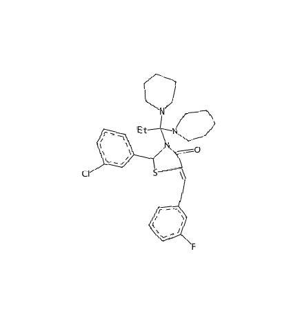 CCC(N1CCCCC1)(N1CCCCC1)N1C(=O)C(=Cc2cccc(F)c2)SC1c1cccc(Cl)c1